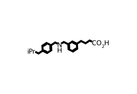 CC(C)Cc1ccc(CNCc2cccc(CCCC(=O)O)c2)cc1